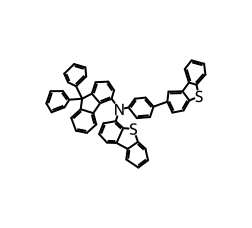 c1ccc(C2(c3ccccc3)c3ccccc3-c3c(N(c4ccc(-c5ccc6sc7ccccc7c6c5)cc4)c4cccc5c4sc4ccccc45)cccc32)cc1